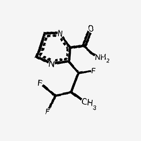 CC(C(F)F)C(F)c1nccnc1C(N)=O